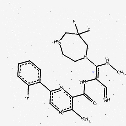 CN/C(=C(\C=N)NC(=O)c1nc(-c2ccccc2F)cnc1N)N1CCNCC(F)(F)C1